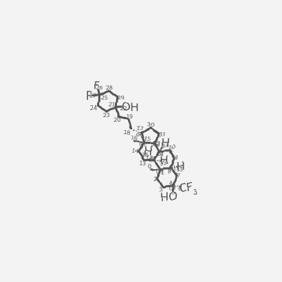 C[C@]12CC[C@@](O)(C(F)(F)F)C[C@@H]1CC[C@@H]1[C@@H]2CC[C@]2(C)[C@H](CCCC3(O)CCC(F)(F)CC3)CC[C@@H]12